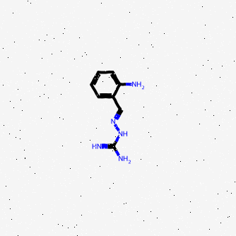 N=C(N)N/N=C/c1ccccc1N